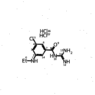 CCNc1cc(Cl)cc(C(=O)NC(=N)N)c1.Cl.Cl